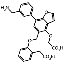 CCOC(=O)Cc1ccccc1OCc1cc(-c2cccc(CN)c2)c2occc2c1OCC(=O)O